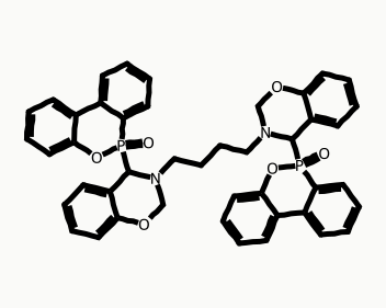 O=P1(C2c3ccccc3OCN2CCCCN2COc3ccccc3C2P2(=O)Oc3ccccc3-c3ccccc32)Oc2ccccc2-c2ccccc21